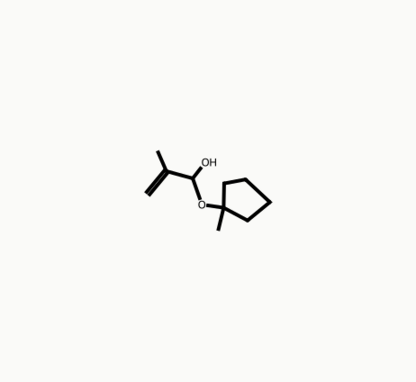 C=C(C)C(O)OC1(C)CCCC1